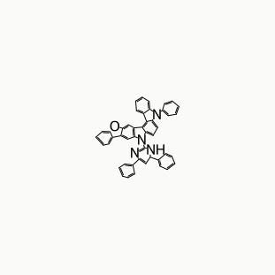 C1=C(c2ccccc2)N=C(n2c3cc4c(cc3c3c5c6ccccc6n(-c6ccccc6)c5ccc32)oc2ccccc24)NC1c1ccccc1